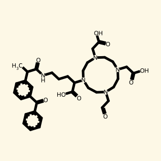 CC(C(=O)NCCCC(C(=O)O)N1CCN(CC=O)CCN(CC(=O)O)CCN(CC(=O)O)CC1)c1cccc(C(=O)c2ccccc2)c1